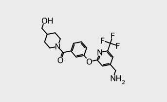 NCc1cc(Oc2cccc(C(=O)N3CCC(CO)CC3)c2)nc(C(F)(F)F)c1